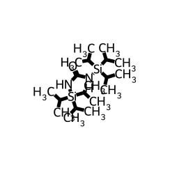 CC(C)[Si](NC(=O)N[Si](C(C)C)(C(C)C)C(C)C)(C(C)C)C(C)C